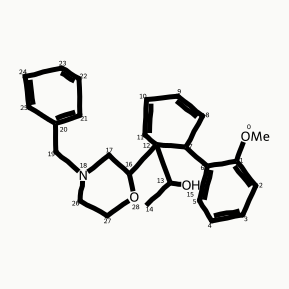 COc1ccccc1C1C=CC=CC1(C(C)O)C1CN(Cc2ccccc2)CCO1